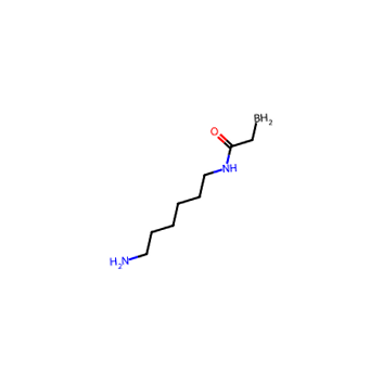 BCC(=O)NCCCCCCN